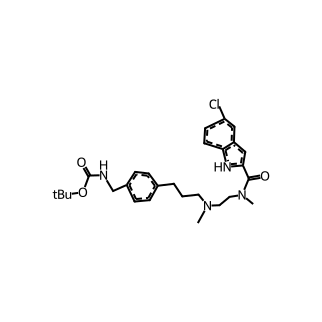 CN(CCCc1ccc(CNC(=O)OC(C)(C)C)cc1)CCN(C)C(=O)c1cc2cc(Cl)ccc2[nH]1